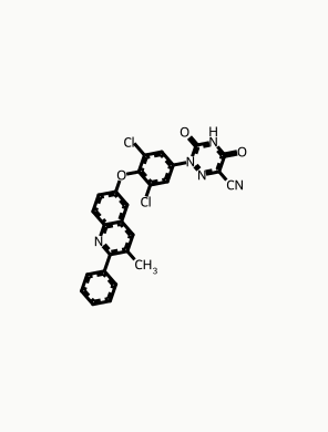 Cc1cc2cc(Oc3c(Cl)cc(-n4nc(C#N)c(=O)[nH]c4=O)cc3Cl)ccc2nc1-c1ccccc1